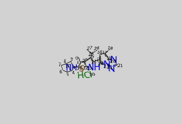 Cc1c(C2CC3CCC(C2)N3)sc2[nH]c(-c3cc(C)c4ncnn4c3)c(C(C)C)c12.Cl